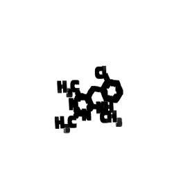 CNc1nc(C)nc(C)c1Cc1ccccc1Cl